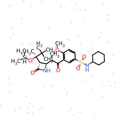 COc1ccc(S(=O)(=O)NC2CCCCC2)cc1C(=O)[C@H](C)[C@H]1NC(=O)[C@@H]1[C@@](C)(O[SiH](C)C)C(C)(C)C